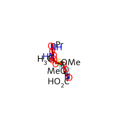 CCCC(=O)NCCOCCC(=O)NC[C@H](C)OC(=O)CCC(=O)c1cc2c(F)c(OCCCOc3c(OC)cc4c(c3F)CN(C(=O)CCC(=O)O)C4)c(OC)cc2s1